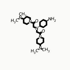 CN(C)C1CCN(C(=O)CN(CC(=O)N2CCC(N(C)C)CC2)[C@H]2CC[C@H](N)CC2)CC1